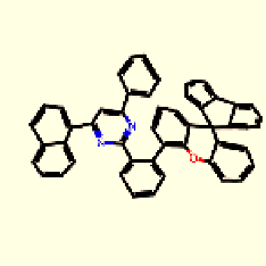 c1ccc(-c2cc(-c3cccc4ccccc34)nc(-c3ccccc3-c3cccc4c3Oc3ccccc3C43c4ccccc4-c4ccccc43)n2)cc1